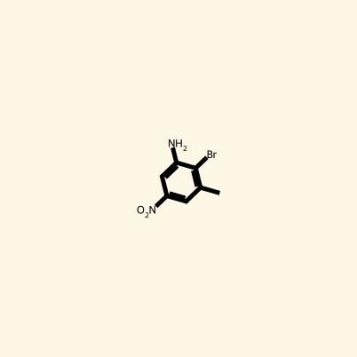 Cc1cc([N+](=O)[O-])cc(N)c1Br